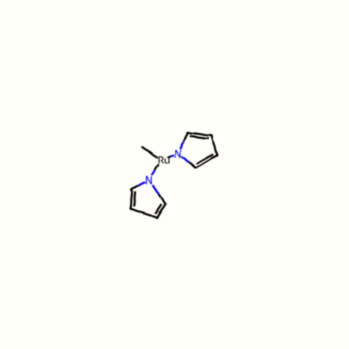 [CH3][Ru]([n]1cccc1)[n]1cccc1